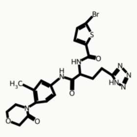 Cc1cc(NC(=O)C(CCc2nnn[nH]2)NC(=O)c2ccc(Br)s2)ccc1N1CCOCC1=O